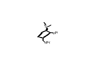 CCCC1=C(CCC)C(=[Si](C)C)C=C1